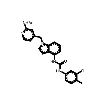 CC(=O)Nc1cc(Cn2ccc3c(NC(=O)Nc4ccc(C)c(Cl)c4)cccc32)ccn1